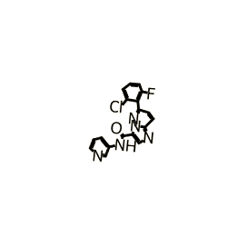 O=C(Nc1cccnc1)c1cnc2ccc(-c3c(F)cccc3Cl)nn12